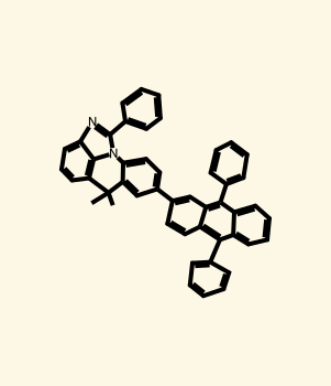 CC1(C)c2cc(-c3ccc4c(-c5ccccc5)c5ccccc5c(-c5ccccc5)c4c3)ccc2-n2c(-c3ccccc3)nc3cccc1c32